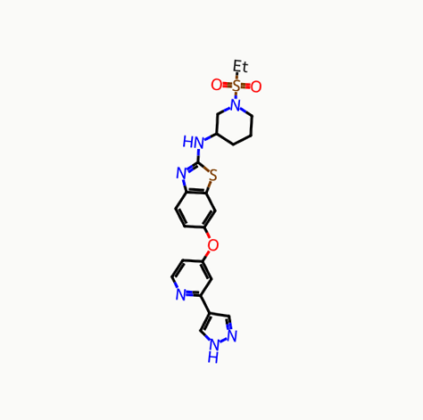 CCS(=O)(=O)N1CCCC(Nc2nc3ccc(Oc4ccnc(-c5cn[nH]c5)c4)cc3s2)C1